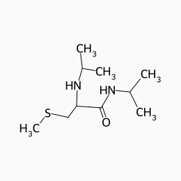 CSCC(NC(C)C)C(=O)NC(C)C